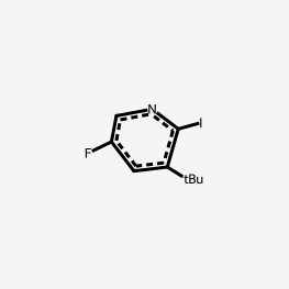 CC(C)(C)c1cc(F)cnc1I